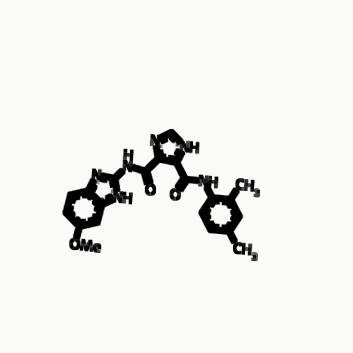 COc1ccc2nc(NC(=O)c3nc[nH]c3C(=O)Nc3ccc(C)cc3C)[nH]c2c1